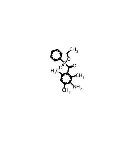 CCOP(=O)(C(=O)c1c(C)cc(C)c(N)c1C)c1ccccc1